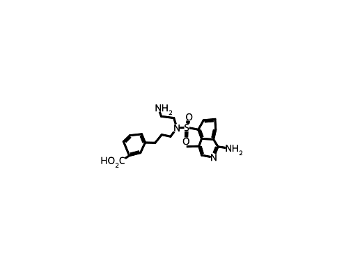 Cc1cnc(N)c2cccc(S(=O)(=O)N(CCN)CCCc3cccc(C(=O)O)c3)c12